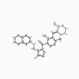 Cn1ncc(C(=O)c2ccc(Br)c(N=C3CCCC[S+]3[O-])c2Cl)c1OCc1ccc2ccccc2c1